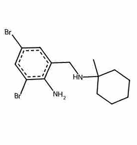 CC1(NCc2cc(Br)cc(Br)c2N)CCCCC1